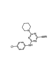 N#Cc1nc(Nc2ccc(Cl)cc2)nc(N2CCCCC2)n1